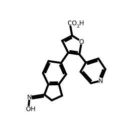 O=C(O)c1cc(-c2ccc3c(c2)CCC3=NO)c(-c2ccncc2)o1